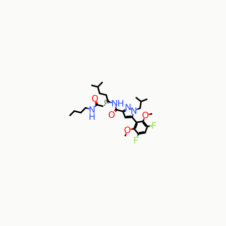 CCCCNC(=O)C[C@H](CCC(C)C)NC(=O)c1cc(-c2c(OC)c(F)cc(F)c2OC)n(CC(C)C)n1